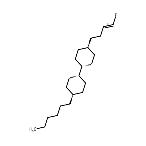 CCCCCC[C@H]1CC[C@H]([C@H]2CC[C@H](CC/C=C/F)CC2)CC1